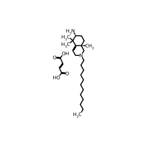 CCCCCCCCCCCCN1CC=C2C(C)(C)[C@@H](N)CC[C@]2(C)C1.O=C(O)/C=C/C(=O)O